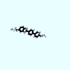 COc1ccc2nc(-c3ccc(-c4ccc(N)nc4)cc3)sc2c1